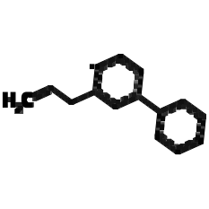 C=CCc1[c]ccc(-c2ccccc2)c1